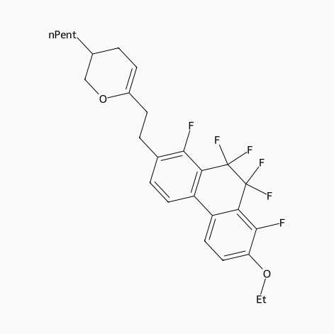 CCCCCC1CC=C(CCc2ccc3c(c2F)C(F)(F)C(F)(F)c2c-3ccc(OCC)c2F)OC1